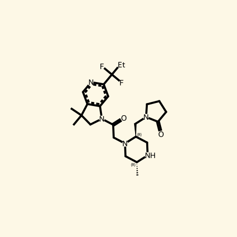 CCC(F)(F)c1cc2c(cn1)C(C)(C)CN2C(=O)CN1C[C@@H](C)NC[C@@H]1CN1CCCC1=O